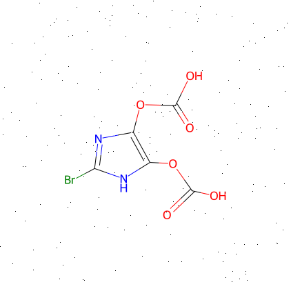 O=C(O)Oc1nc(Br)[nH]c1OC(=O)O